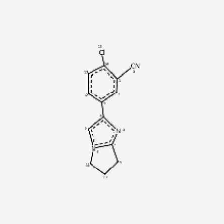 N#Cc1cc(-c2cn3c(n2)CCC3)ccc1Cl